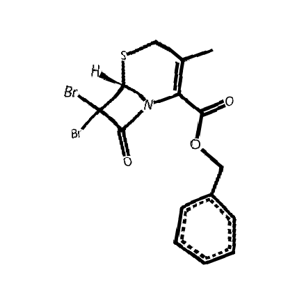 CC1=C(C(=O)OCc2ccccc2)N2C(=O)C(Br)(Br)[C@@H]2SC1